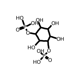 O=P(O)(O)OC1C(O)C(O)C(O)C(OP(=O)(O)O)C1O